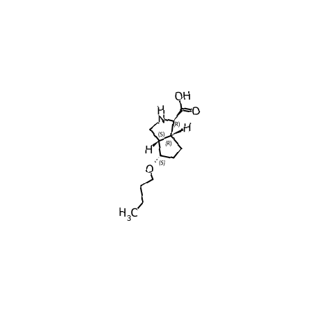 CCCCO[C@H]1CC[C@@H]2[C@H]1CN[C@H]2C(=O)O